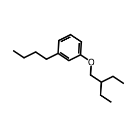 CCCCc1cccc(OCC(CC)CC)c1